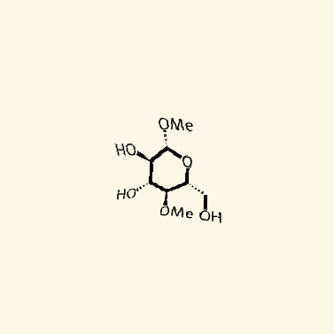 CO[C@@H]1O[C@H](CO)[C@@H](OC)[C@H](O)[C@H]1O